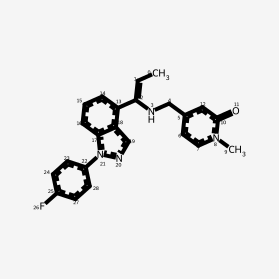 C/C=C(\NCc1ccn(C)c(=O)c1)c1cccc2c1cnn2-c1ccc(F)cc1